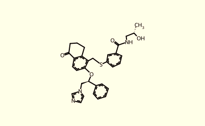 C[C@H](O)CNC(=O)c1cccc(SCc2c(O[C@H](Cn3ccnc3)c3ccccc3)ccc3c2CCCC3=O)c1